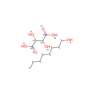 CCCCCCCCO.O=C(O)C(O)C(O)C(=O)O